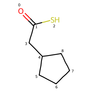 O=C(S)CC1CCCC1